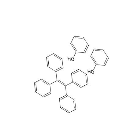 Oc1ccccc1.Oc1ccccc1.c1ccc(C(=C(c2ccccc2)c2ccccc2)c2ccccc2)cc1